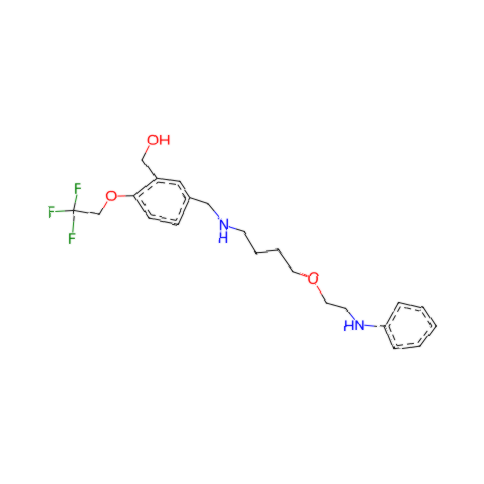 OCc1cc(CNCCCCOCCNc2ccccc2)ccc1OCC(F)(F)F